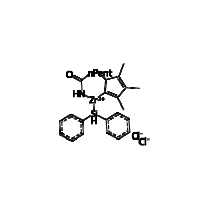 CCCCCC(=O)[NH][Zr+2]([C]1=C(C)C(C)=C(C)C1C)[SiH](c1ccccc1)c1ccccc1.[Cl-].[Cl-]